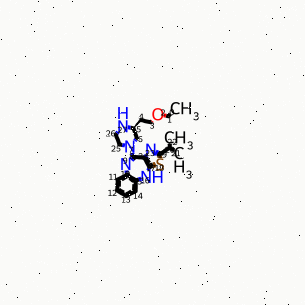 CCOCC[C@H]1CN(C2=Nc3ccccc3Nc3sc(C(C)C)nc32)CCN1